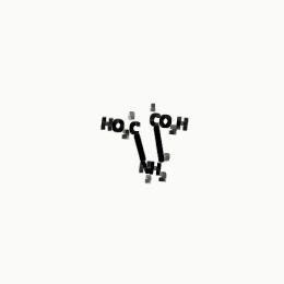 CC(=O)O.NC(=O)O